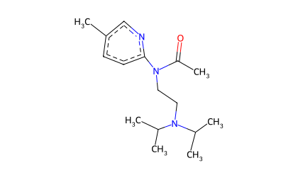 CC(=O)N(CCN(C(C)C)C(C)C)c1ccc(C)cn1